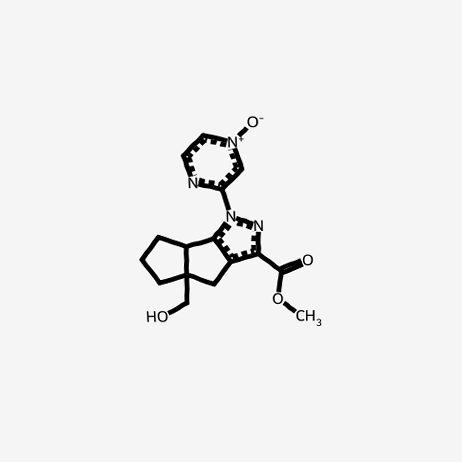 COC(=O)c1nn(-c2c[n+]([O-])ccn2)c2c1CC1(CO)CCCC21